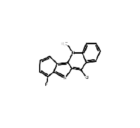 Cn1c2c3cccc(F)c3nc-2c(Cl)c2ccccc21